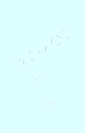 CS(=O)(=O)c1ccc(-c2ccc(/C=C3/SC(=S)N(C4CCCC(C(=O)OCCCO)C4)C3=O)o2)cc1